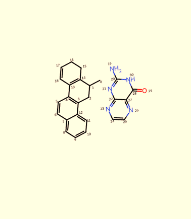 CC1Cc2c(ccc3ccccc23)C2=C1CCC=C2.Nc1nc2nccnc2c(=O)[nH]1